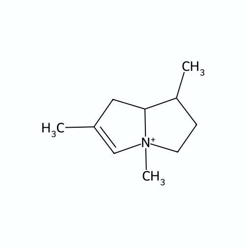 CC1=C[N+]2(C)CCC(C)C2C1